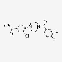 CCCC(=O)c1ccc(N2CCN(C(=O)c3ccc(F)c(F)c3)CC2)c(Cl)c1